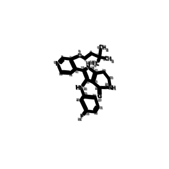 CC(C)(C)CCOc1cnccc1-c1[nH]c2c(c1Nc1cccc(F)c1)C(=O)NCC2